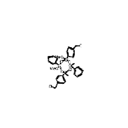 CO[Si]1(c2ccccc2)O[Si](C)(c2ccc(CCl)cc2)O[Si](C)(c2ccccc2)O[Si](OC)(c2ccc(CCl)cc2)O1